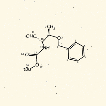 C[C@@H](OCc1ccccc1)[C@@H]([C]=O)NC(=O)OC(C)(C)C